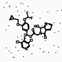 O=C(CN1C(=O)c2cccnc2C1O)O[C@@H](Cc1c(Cl)cncc1Cl)c1ccc(OC(F)F)c(OCC2CC2)c1